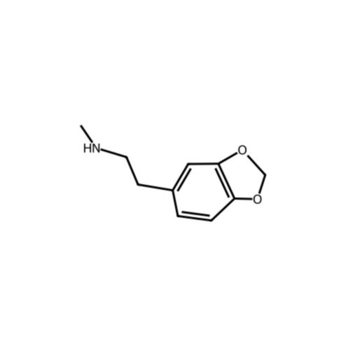 CNCCc1ccc2c(c1)OCO2